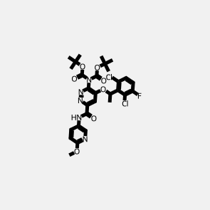 COc1ccc(NC(=O)c2cc(OC(C)c3c(Cl)ccc(F)c3Cl)c(N(C(=O)OC(C)(C)C)C(=O)OC(C)(C)C)nn2)cn1